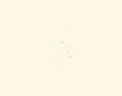 Cl.O=C(Nc1ccccn1)c1cccc2ccc(NC3CCNCC3)nc12